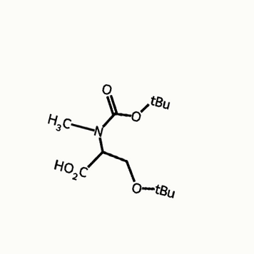 CN(C(=O)OC(C)(C)C)C(COC(C)(C)C)C(=O)O